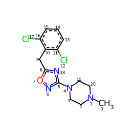 CN1CCN(c2noc(Cc3c(Cl)cccc3Cl)n2)CC1